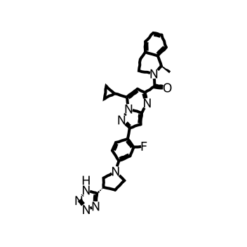 C[C@@H]1c2ccccc2CCN1C(=O)c1cc(C2CC2)n2nc(-c3ccc(N4CC[C@H](c5nnn[nH]5)C4)cc3F)cc2n1